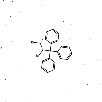 SCC(Br)C(c1ccccc1)(c1ccccc1)c1ccccc1